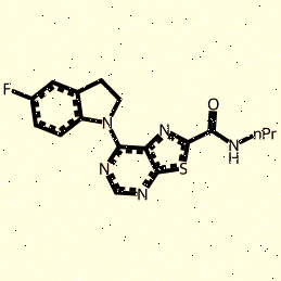 CCCNC(=O)c1nc2c(N3CCc4cc(F)ccc43)ncnc2s1